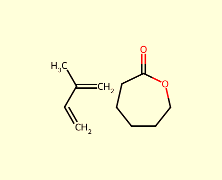 C=CC(=C)C.O=C1CCCCCO1